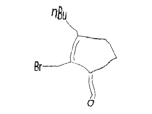 CCCCC1=C(Br)C(=O)CC1